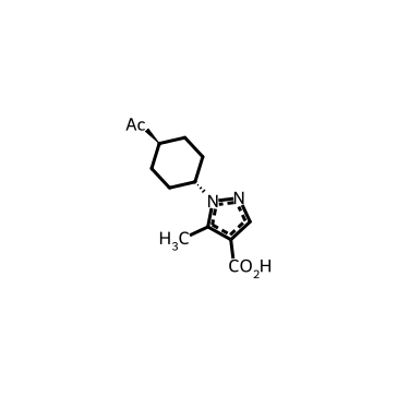 Cc1c(C(=O)O)cnn1[C@H]1CC[C@H](C(C)=O)CC1